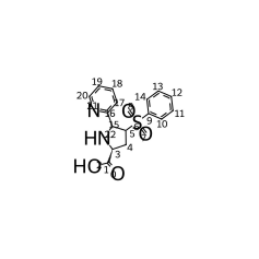 O=C(O)[C@@H]1CC(S(=O)(=O)c2ccccc2)C(c2ccccn2)N1